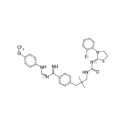 CCc1ccccc1N1CCS/C1=N\C(=O)NCC(C)(C)Cc1ccc(C(=N)/N=C\Nc2ccc(OC(F)(F)F)cc2)cc1